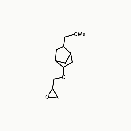 COCC1CC2CC1CC2OCC1CO1